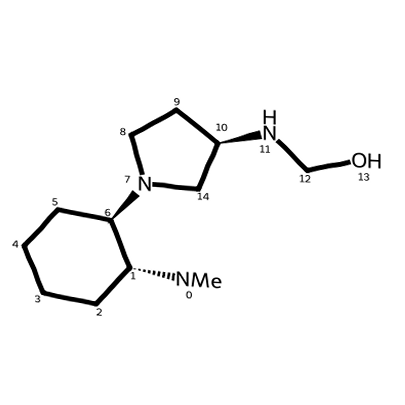 CN[C@@H]1CCCC[C@H]1N1CC[C@@H](NCO)C1